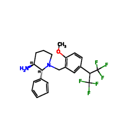 COc1ccc(C(C(F)(F)F)C(F)(F)F)cc1CN1CCC[C@H](N)[C@H]1c1ccccc1